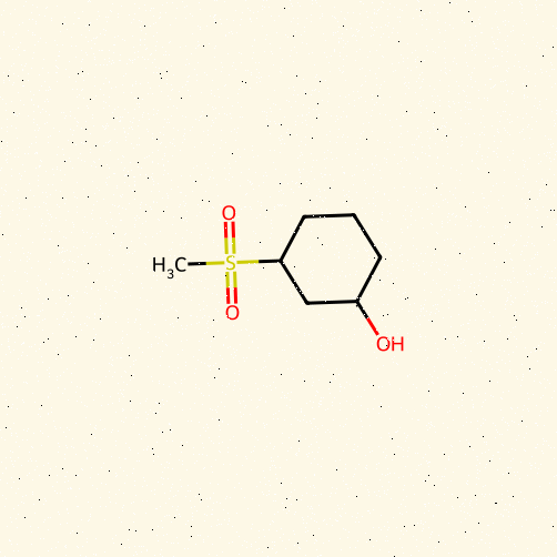 CS(=O)(=O)C1CCC[C](O)C1